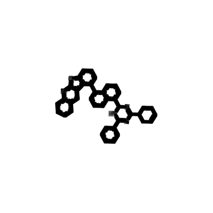 C1=CCC(C2=NC(c3cccc4c(-c5cccc6oc7nc8ccccc8cc7c56)cccc34)NC(c3ccccc3)=N2)C=C1